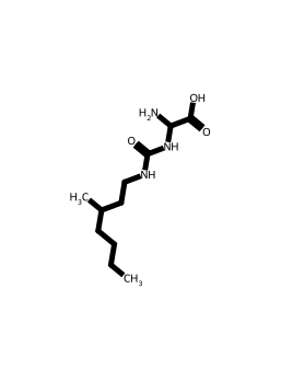 CCCCC(C)CCNC(=O)NC(N)C(=O)O